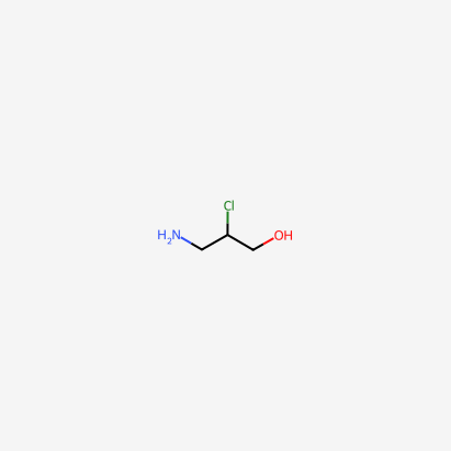 NCC(Cl)CO